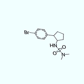 CN(C)S(=O)(=O)NC1CCCC1c1ccc(Br)cc1